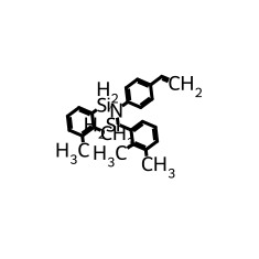 C=Cc1ccc(N([SiH2]c2cccc(C)c2C)[SiH2]c2cccc(C)c2C)cc1